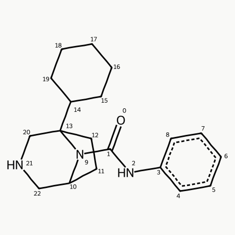 O=C(Nc1ccccc1)N1C2CCC1(C1CCCCC1)CNC2